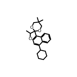 CC(Cl)C1(c2ccc(C3CCCCC3)c3ccccc23)OCC(C)(C)CO1